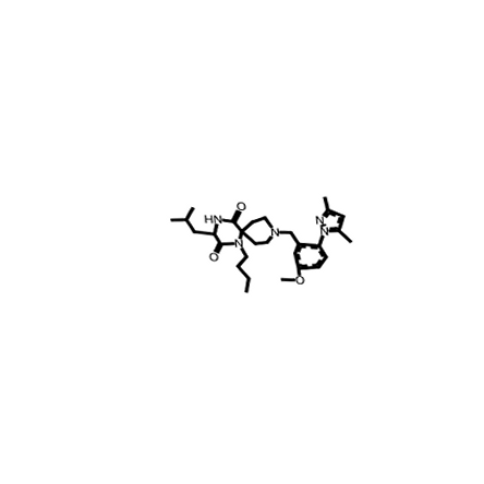 CCCCN1C(=O)C(CC(C)C)NC(=O)C12CCN(Cc1cc(OC)ccc1-n1nc(C)cc1C)CC2